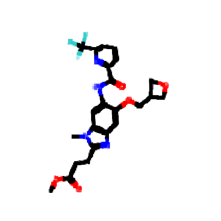 COC(=O)CCc1nc2cc(OCC3COC3)c(NC(=O)c3cccc(C(F)(F)F)n3)cc2n1C